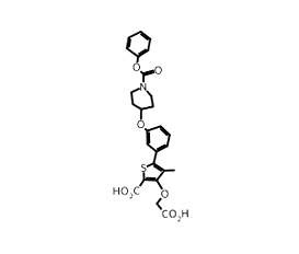 Cc1c(-c2cccc(OC3CCN(C(=O)Oc4ccccc4)CC3)c2)sc(C(=O)O)c1OCC(=O)O